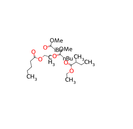 CCC(C)C(=O)OC.CCCCC(=O)OC.CCCCC(=O)OCC.CCOC(=O)C(C)CC